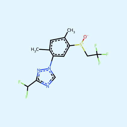 Cc1cc(C)c([S+]([O-])CC(F)(F)F)cc1-n1cnc(C(F)F)n1